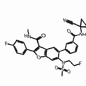 CNC(=O)c1c(-c2ccc(F)cc2)oc2cc(N(CCF)S(C)(=O)=O)c(-c3cccc(C(=O)NC4(C#N)CC4)c3)cc12